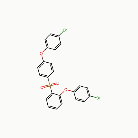 O=S(=O)(c1ccc(Oc2ccc(Br)cc2)cc1)c1ccccc1Oc1ccc(Br)cc1